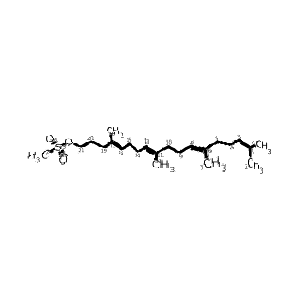 CC(C)=CCC/C(C)=C/CC/C(C)=C/CC/C=C(\C)CCCOS(C)(=O)=O